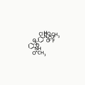 CC(=O)Nc1ccccc1S(=O)(=O)c1ccc(NC(=O)[C@@](C)(O)C(F)(F)F)c(Cl)c1